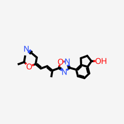 C/C(=C\C=C(/CC#N)OC(C)C)c1nc(-c2cccc3c2CCC3O)no1